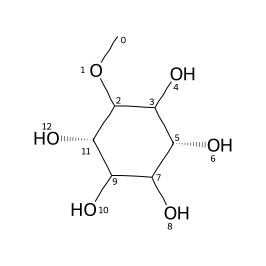 COC1C(O)[C@H](O)C(O)C(O)[C@@H]1O